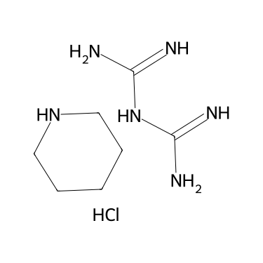 C1CCNCC1.Cl.N=C(N)NC(=N)N